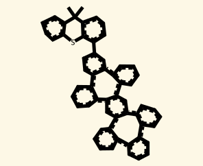 CC1(C)c2ccccc2Sc2c(-c3ccc4c5ccccc5c5cc6c7ccccc7c7ccccc7c7ccccc7c6cc5c5ccccc5c4c3)cccc21